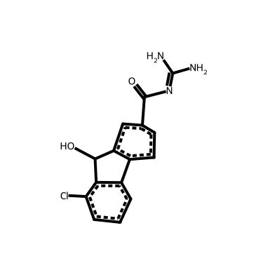 NC(N)=NC(=O)c1ccc2c(c1)C(O)c1c(Cl)cccc1-2